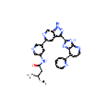 CC(C)CC(=O)Nc1cncc(-c2cc3c(-c4nc5c(-c6ccccn6)ccnc5[nH]4)n[nH]c3cn2)c1